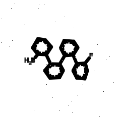 Bc1ccccc1-c1ccccc1-c1ccccc1-c1ccccc1F